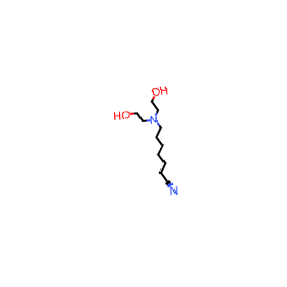 N#CCCCCCCN(CCO)CCO